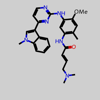 COc1cc(C)c(NC(=O)C=CCN(C)C)cc1Nc1nccc(-c2cn(C)c3ccccc23)n1